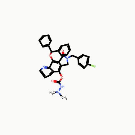 CN(C)NC(=O)Oc1c2c(c(OC(c3ccccc3)c3ccccc3)c3ncccc13)C(=O)N(Cc1ccc(F)cc1)C2